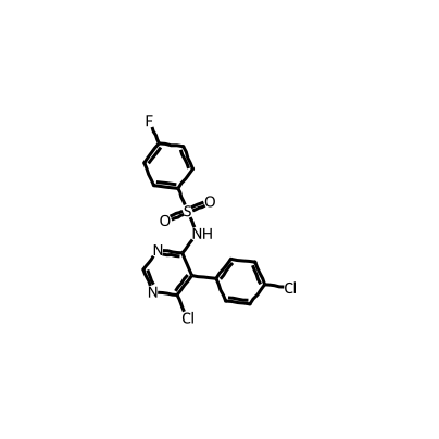 O=S(=O)(Nc1ncnc(Cl)c1-c1ccc(Cl)cc1)c1ccc(F)cc1